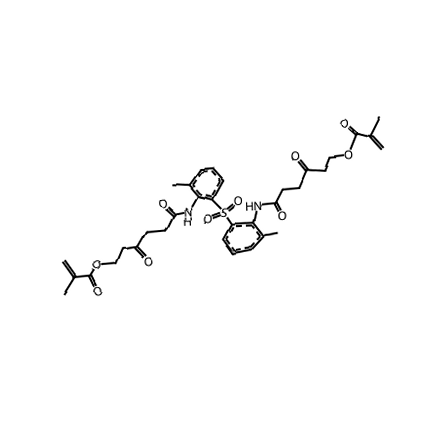 C=C(C)C(=O)OCCC(=O)CCC(=O)Nc1c(C)cccc1S(=O)(=O)c1cccc(C)c1NC(=O)CCC(=O)CCOC(=O)C(=C)C